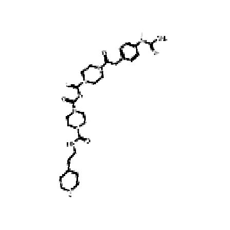 N=C(N)Nc1ccc(CC(=O)N2CCN(C(=O)OC(=O)N3CCN(C(=O)NCCC4CCNCC4)CC3)CC2)cc1